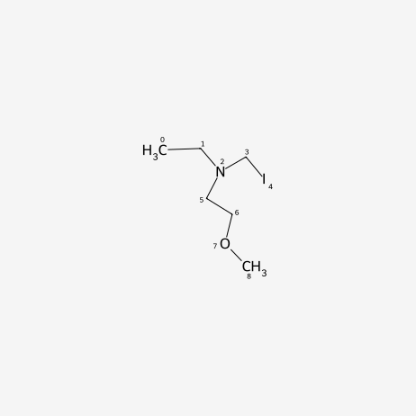 CCN(CI)CCOC